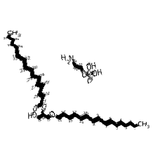 CCCCCCCCCCCCCCCCOCC(CO)OC(=O)CCCCCCCCCCCCCCC.NCCOP(=O)(O)O